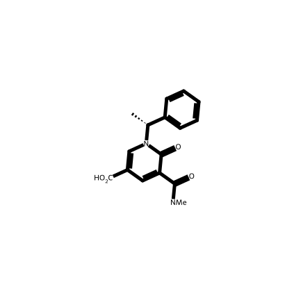 CNC(=O)c1cc(C(=O)O)cn([C@H](C)c2ccccc2)c1=O